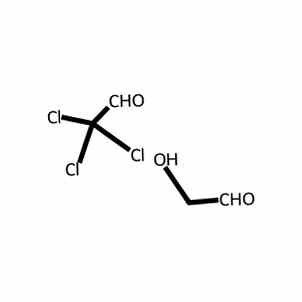 O=CC(Cl)(Cl)Cl.O=CCO